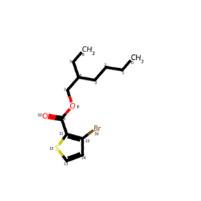 CCCCC(CC)COC(=O)c1sccc1Br